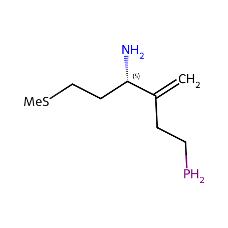 C=C(CCP)[C@@H](N)CCSC